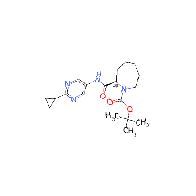 CC(C)(C)OC(=O)N1CCCCC[C@@H]1C(=O)Nc1cnc(C2CC2)nc1